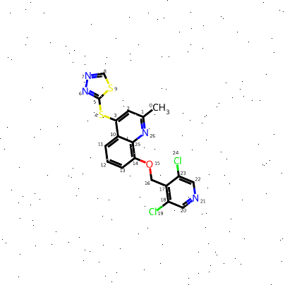 Cc1cc(Sc2nncs2)c2cccc(OCc3c(Cl)cncc3Cl)c2n1